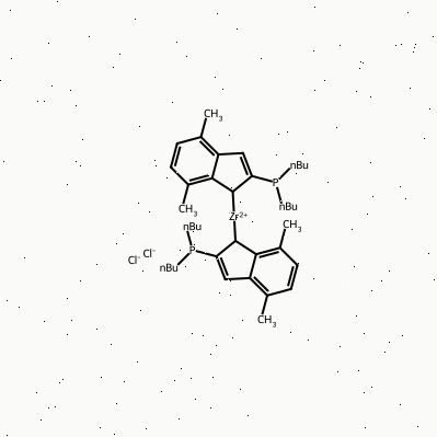 CCCCP(CCCC)C1=Cc2c(C)ccc(C)c2[CH]1[Zr+2][CH]1C(P(CCCC)CCCC)=Cc2c(C)ccc(C)c21.[Cl-].[Cl-]